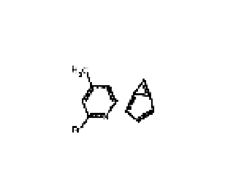 CCc1cc(C)ccn1.c1cc2cc-2c1